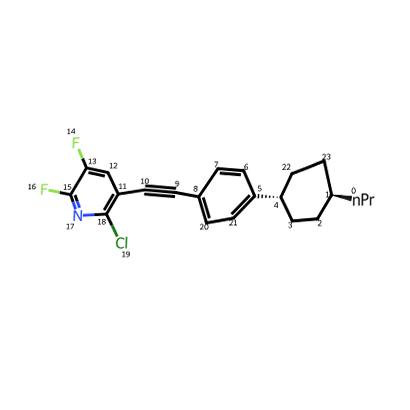 CCC[C@H]1CC[C@H](c2ccc(C#Cc3cc(F)c(F)nc3Cl)cc2)CC1